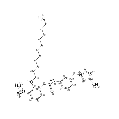 CCCCCCCCCCCCOc1c(CC(=O)Nc2cccc(C[n+]3csc(C)c3)c2)cccc1OC.[Br-]